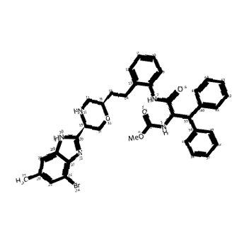 COC(=O)NC(C(=O)Nc1ccccc1CC[C@@H]1CN[C@H](c2nc3c(Br)cc(C)cc3[nH]2)CO1)C(c1ccccc1)c1ccccc1